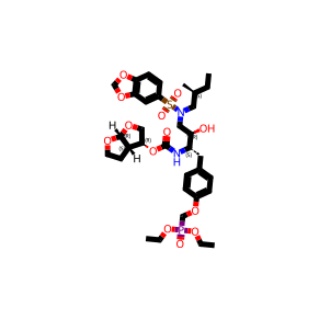 CCOP(=O)(COc1ccc(C[C@H](NC(=O)O[C@H]2CO[C@H]3OCC[C@H]32)[C@H](O)CN(C[C@@H](C)CC)S(=O)(=O)c2ccc3c(c2)OCO3)cc1)OCC